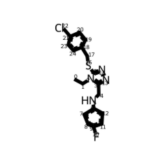 CCn1c(CNc2ccc(F)cc2)nnc1SCc1ccc(Cl)cc1